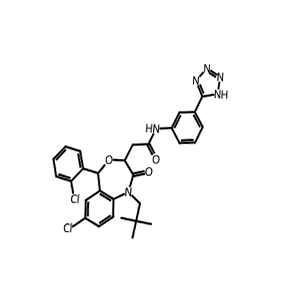 CC(C)(C)CN1C(=O)C(CC(=O)Nc2cccc(-c3nnn[nH]3)c2)OC(c2ccccc2Cl)c2cc(Cl)ccc21